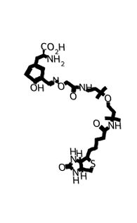 CC(C)(CCOC(C)(C)CCNC(=O)CO/N=C/c1cc(C[C@H](N)C(=O)O)ccc1O)NC(=O)CCCCC1SC[C@@H]2NC(=O)N[C@H]12